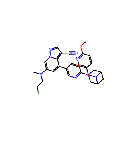 COc1ccc(CN2C3CC2CN(c2ccc(-c4cc(N(C)CCF)cn5ncc(C#N)c45)cn2)C3)cn1